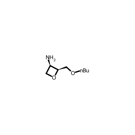 CCCCOC[C@H]1OC[C@H]1N